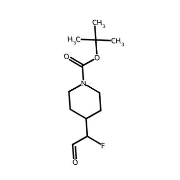 CC(C)(C)OC(=O)N1CCC(C(F)C=O)CC1